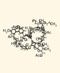 C=CCOC(=O)N(C)[C@H](CC(C)C)C(=O)N[C@H]1C(=O)C[C@@H](CN)C(=O)N[C@H]2C(=O)C[C@H]3C(=O)N[C@H](C(=O)N[C@H](C(C)=O)c4cc(C)cc(OC(C)=O)c4-c4cc3ccc4OC(C)=O)[C@H](C)c3ccc(c(Cl)c3)Oc3cc2cc(c3OC2OC(COC(C)=O)C(C)C(C)C2C)Oc2ccc(cc2Cl)[C@H]1OC(C)=O